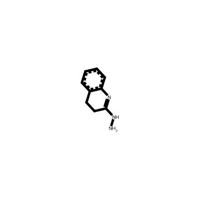 NNC1=Nc2ccccc2CC1